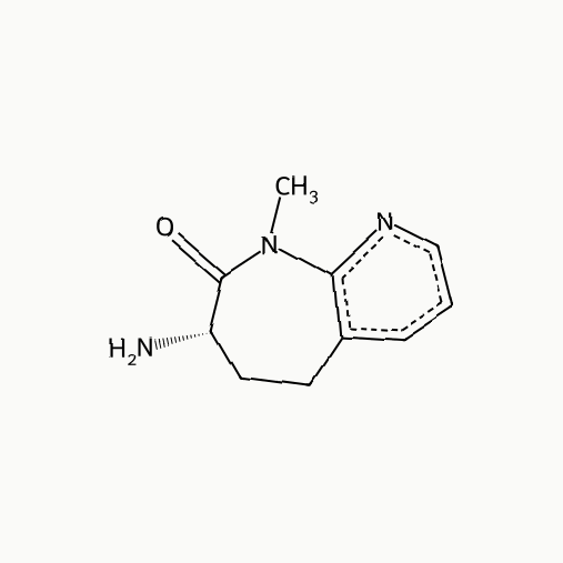 CN1C(=O)[C@@H](N)CCc2cccnc21